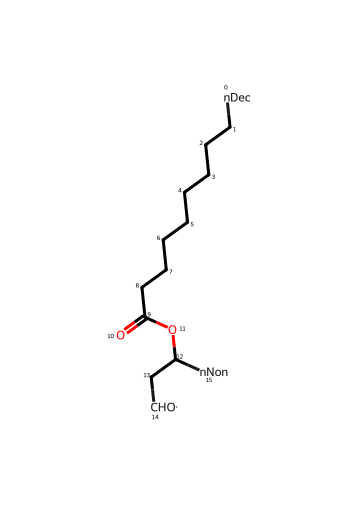 CCCCCCCCCCCCCCCCCCC(=O)OC(C[C]=O)CCCCCCCCC